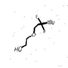 CC(C)(C)C(F)(F)COCCO